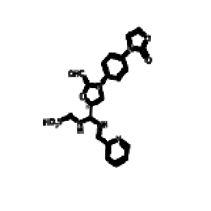 O=CC1O[C@H](C(NCc2ccccn2)NCS(=O)(=O)O)CN1c1ccc(N2CCOC2=O)cc1